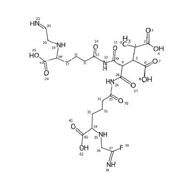 CC(C(=O)O)C(C(=O)O)C(C(=O)NC(=O)CCCC(NCC=N)C(=O)O)C(=O)NC(=O)CCCC(NCC(=N)F)C(=O)O